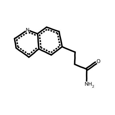 NC(=O)CCc1ccc2ncccc2c1